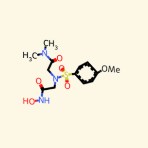 COc1ccc(S(=O)(=O)N(CC(=O)NO)CC(=O)N(C)C)cc1